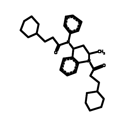 CC1CC(N(C(=O)CCC2CCCCC2)c2ccccc2)c2ccccc2N1C(=O)CCC1CCCCC1